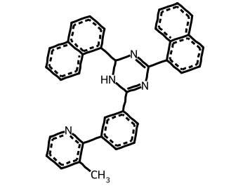 Cc1cccnc1-c1cccc(C2=NC(c3cccc4ccccc34)=NC(c3cccc4ccccc34)N2)c1